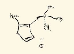 C[Si](C)(C)CC1=[C]([Hf+2])CC=C1.[Cl-].[Cl-]